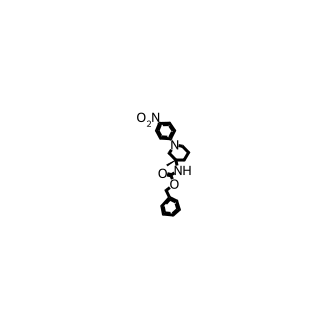 C[C@]1(NC(=O)OCc2ccccc2)CCCN(c2ccc([N+](=O)[O-])cc2)C1